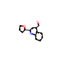 O=[C]c1cc(-c2ccco2)nc2ccccc12